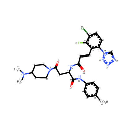 CN(C)C1CCN(C(=O)CC(NC(=O)/C=C/c2c(-n3cnnn3)ccc(Cl)c2F)C(=O)Nc2ccc(C(=O)O)cc2)CC1